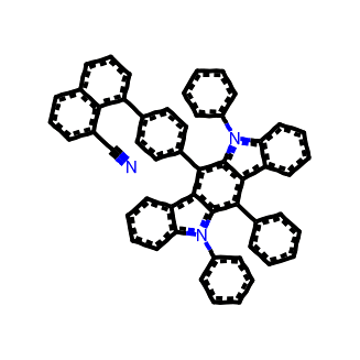 N#Cc1cccc2cccc(-c3ccc(-c4c5c6ccccc6n(-c6ccccc6)c5c(-c5ccccc5)c5c6ccccc6n(-c6ccccc6)c45)cc3)c12